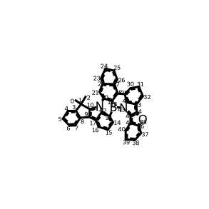 CC1(C)c2ccccc2-c2c1n1c3c(cccc23)B2c3c-1cc1ccccc1c3-c1cccc3c4oc5ccccc5c4n2c13